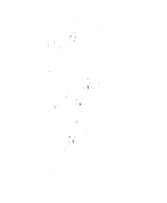 Cl.O=C(c1ccc2c(c1)CCN([C@@H]1CCN(C3CCC3)C1)C2=O)N1CCCC1